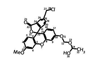 COc1ccc2c(c1)Oc1cc(OCOC(C)O)ccc1C21OC(=O)c2cc(CCl)ccc21